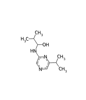 CC(C)c1cncc(NC(O)C(C)C)n1